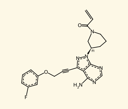 C=CC(=O)N1CCC[C@@H](n2nc(C#CCOc3cccc(F)c3)c3c(N)ncnc32)C1